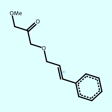 COCC(=O)COC/C=C/c1ccccc1